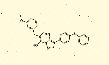 COc1cccc(Cc2cnc3c(-c4ccc(Sc5ccccc5)cc4)cnn3c2O)c1